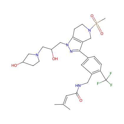 CC(C)=CC(=O)NCc1cc(-c2nn(CC(O)CN3CCC(O)C3)c3c2CN(S(C)(=O)=O)CC3)ccc1C(F)(F)F